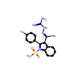 CCCC/C(=N\NC(=N)N)c1c(-c2ccc(Cl)cc2)n(S(C)(=O)=O)c2ccccc12